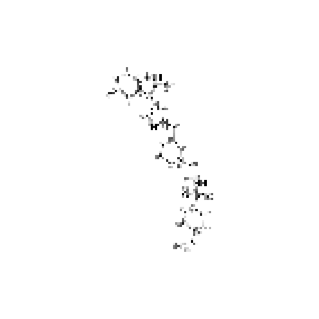 CC(=O)c1[nH]c2ccc(F)cc2c1-c1cn(CC2CCCN(CCNS(=O)(=O)c3ccc(CC(C)C)cc3)C2)nn1